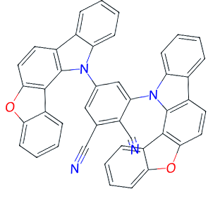 N#Cc1cc(-n2c3ccccc3c3ccc4oc5ccccc5c4c32)cc(-n2c3ccccc3c3ccc4oc5ccccc5c4c32)c1C#N